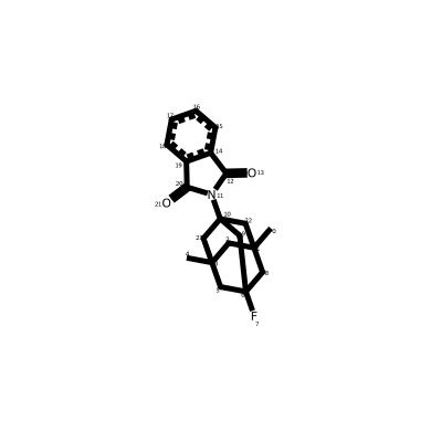 CC12CC3(C)CC(F)(C1)CC(N1C(=O)c4ccccc4C1=O)(C2)C3